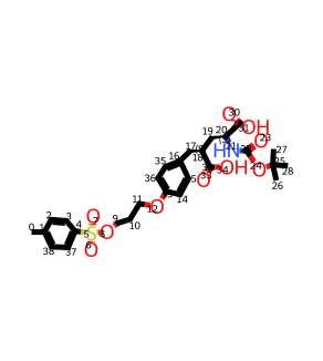 Cc1ccc(S(=O)(=O)OCCCOc2ccc(C[C@@H](C[C@H](NC(=O)OC(C)(C)C)C(=O)O)C(=O)O)cc2)cc1